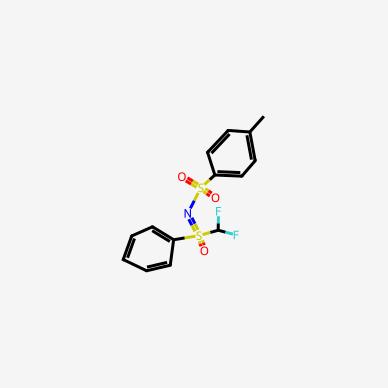 Cc1ccc(S(=O)(=O)N=S(=O)(c2ccccc2)C(F)F)cc1